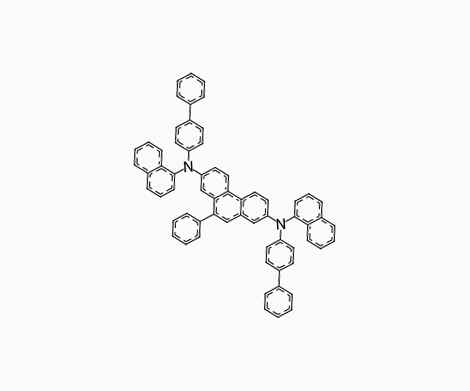 c1ccc(-c2ccc(N(c3ccc4c(c3)cc(-c3ccccc3)c3cc(N(c5ccc(-c6ccccc6)cc5)c5cccc6ccccc56)ccc34)c3cccc4ccccc34)cc2)cc1